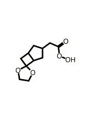 O=C(CC1CC2CC3(OCCO3)C2C1)OO